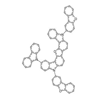 c1ccc2c(c1)oc1ccc(-n3c4ccccc4c4c5oc6c(ccc7c6c6cc(-n8c9ccccc9c9ccccc98)ccc6n7-c6ccc7oc8ccccc8c7c6)c5ccc43)cc12